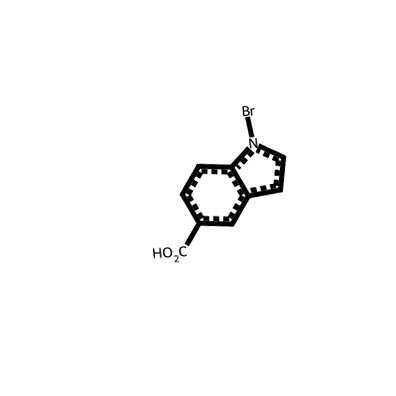 O=C(O)c1ccc2c(ccn2Br)c1